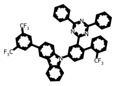 FC(F)(F)c1cc(-c2ccc3c(c2)c2ccccc2n3-c2ccc(-c3ccccc3C(F)(F)F)c(-c3nc(-c4ccccc4)nc(-c4ccccc4)n3)c2)cc(C(F)(F)F)c1